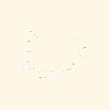 O=C(Cc1cccc(OC(F)(F)F)c1)Nc1ccc(N2CCC(c3nnc(NC(=O)Cc4ccccn4)s3)C2)nn1